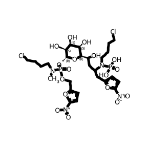 CN(CCCCCl)P(=O)(OCc1ccc([N+](=O)[O-])o1)O[C@H]1O[C@H](C(O)CC(Cc2ccc([N+](=O)[O-])o2)N(CCCCCl)P(=O)(O)O)[C@@H](O)[C@H](O)[C@@H]1O